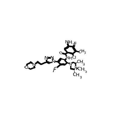 Cc1c(F)c(N)cc(C(=O)Nc2cc(-n3cc(CCN4CCOCC4)nn3)c(F)cc2N2C[C@@H](C)N(C)[C@@H](C)C2)c1Cl